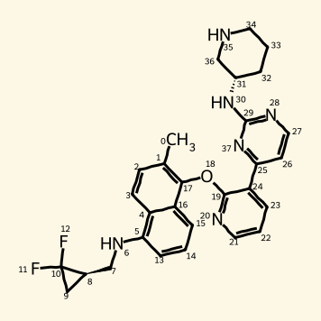 Cc1ccc2c(NC[C@H]3CC3(F)F)cccc2c1Oc1ncccc1-c1ccnc(N[C@H]2CCCNC2)n1